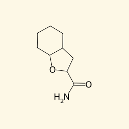 NC(=O)C1CC2CCCCC2O1